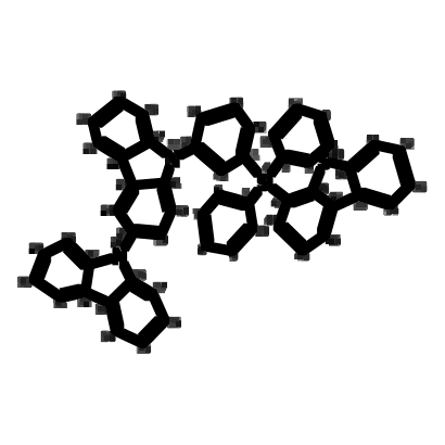 c1ccc([Si](c2ccccc2)(c2cccc(-n3c4ccccc4c4cc(-n5c6ccccc6c6ccccc65)ccc43)c2)c2cccc3c2sc2ccccc23)cc1